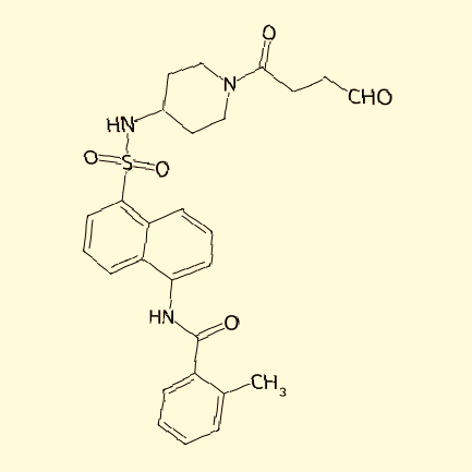 Cc1ccccc1C(=O)Nc1cccc2c(S(=O)(=O)NC3CCN(C(=O)CCC=O)CC3)cccc12